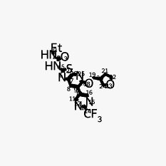 CCNC(=O)Nc1nc2cc(-c3cnc(C(F)(F)F)nc3)c(OCC3CCOC3)nc2s1